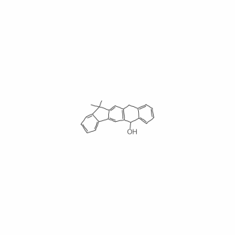 CC1(C)c2ccccc2-c2cc3c(cc21)Cc1ccccc1C3O